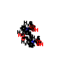 CCOP(=O)(O)CCN1/C(=C/C=C/C=C/C2=[N+](CCP(=O)(O)OCC)c3ccccc3C2(C)C)C(C)(CCCC(=O)O)c2ccccc21